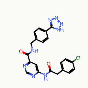 O=C(Cc1ccc(Cl)cc1)Nc1cc(C(=O)NCc2ccc(-c3nnn[nH]3)cc2)ncn1